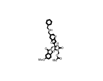 COc1ccc2c(c1)C(=O)N(C[C@@]1(c3cc4ncc(CNCc5ccccc5)cc4o3)NC(=O)N(COC(=O)C(C)(C)C)C1=O)C2